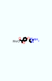 COC(=O)c1coc2cc(Oc3ccnc(N)n3)ccc12